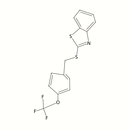 FC(F)(F)Oc1ccc(CSc2nc3ccccc3s2)cc1